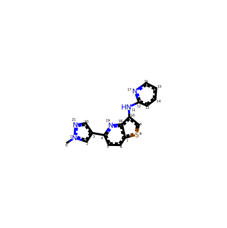 Cn1cc(-c2ccc3scc(Nc4ccccn4)c3n2)cn1